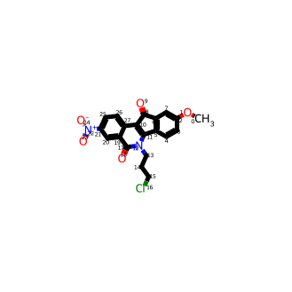 COc1ccc2c(c1)C(=O)c1c-2n(CCCCl)c(=O)c2cc([N+](=O)[O-])ccc12